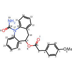 COc1ccc(CC(=O)OC2Cc3ccccc3N(C(N)=O)c3ccccc32)cc1